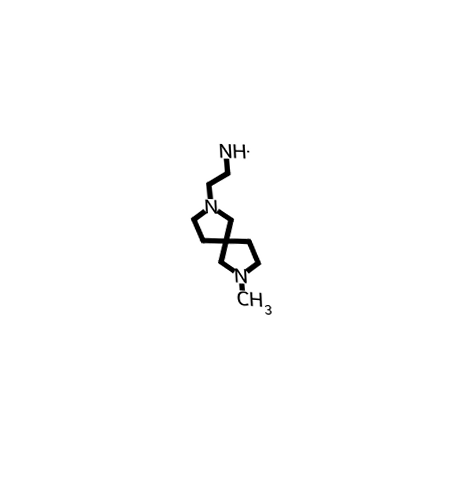 CN1CCC2(CCN(CC[NH])C2)C1